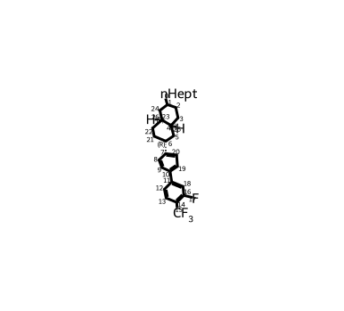 CCCCCCCC1CC[C@@H]2C[C@H](c3ccc(-c4ccc(C(F)(F)F)c(F)c4)cc3)CC[C@@H]2C1